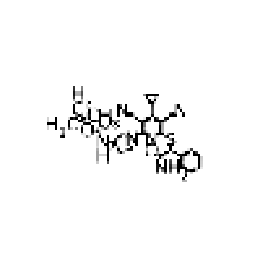 CC(C)(C)OC(=O)N[C@H]1CCN(c2nc(SC(C(N)=O)c3ccccc3)c(C#N)c(C3CC3)c2C#N)C1